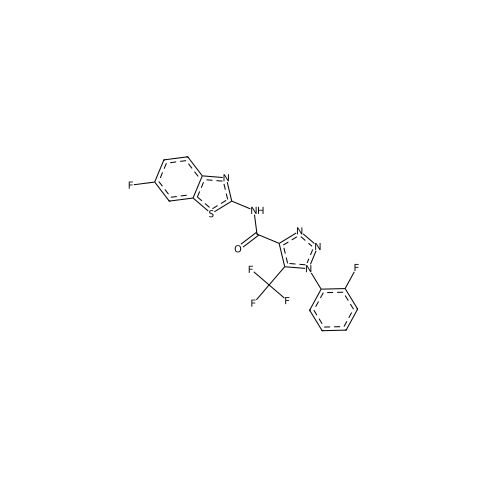 O=C(Nc1nc2ccc(F)cc2s1)c1nnn(-c2ccccc2F)c1C(F)(F)F